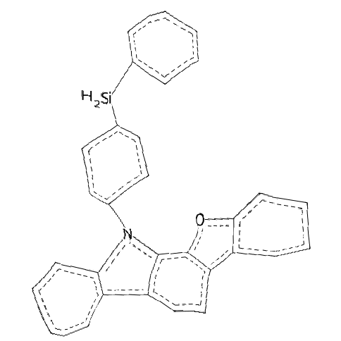 c1ccc([SiH2]c2ccc(-n3c4ccccc4c4ccc5c6ccccc6oc5c43)cc2)cc1